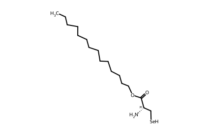 CCCCCCCCCCCCCCOC(=O)[C@@H](N)C[SeH]